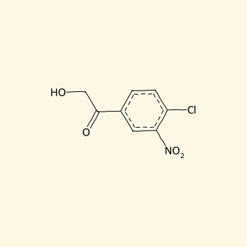 O=C(CO)c1ccc(Cl)c([N+](=O)[O-])c1